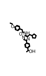 CCOc1ccc(CC(=O)Nc2ncc(-c3ccc(C(C)O)cc3)nc2CC2CCCC2)cc1